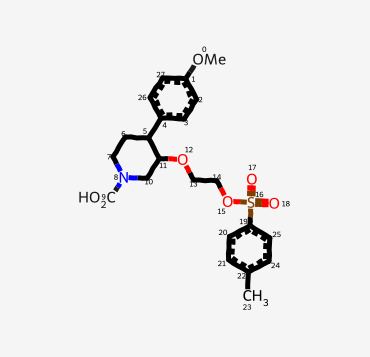 COc1ccc(C2CCN(C(=O)O)CC2OCCOS(=O)(=O)c2ccc(C)cc2)cc1